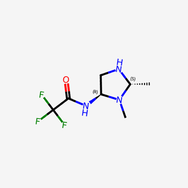 C[C@H]1NC[C@H](NC(=O)C(F)(F)F)N1C